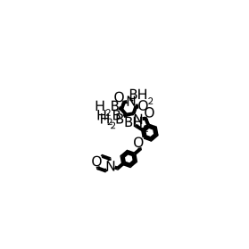 BN1C(=O)C(N2Cc3c(OCc4ccc(CN5CCOCC5)cc4)cccc3C2=O)C(B)(B)C(B)(B)C1=O